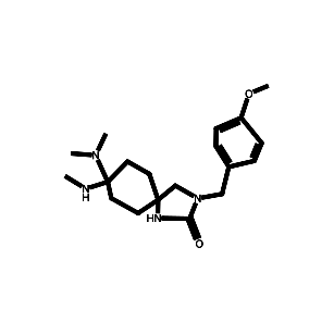 CNC1(N(C)C)CCC2(CC1)CN(Cc1ccc(OC)cc1)C(=O)N2